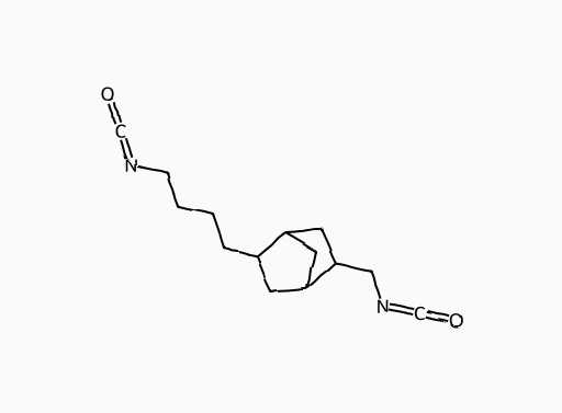 O=C=NCCCCC1CC2CC1CC2CN=C=O